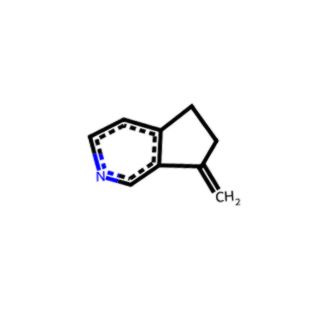 C=C1CCc2ccncc21